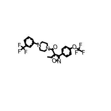 Cc1onc(-c2ccc(OC(F)(F)F)cc2)c1C(=O)N1CCN(c2cccc(C(F)(F)F)c2)CC1